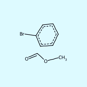 Brc1ccccc1.COC=O